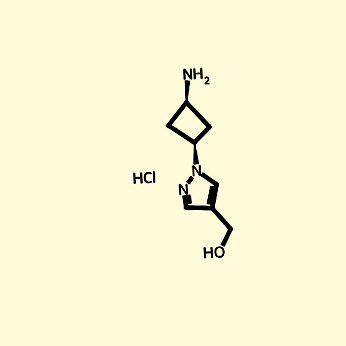 Cl.N[C@H]1C[C@@H](n2cc(CO)cn2)C1